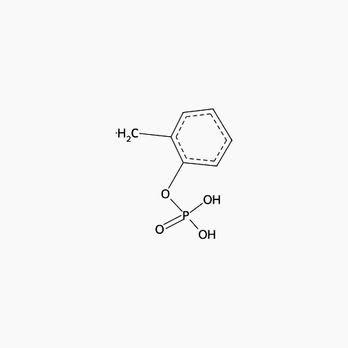 [CH2]c1ccccc1OP(=O)(O)O